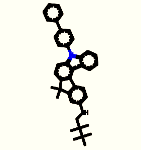 CC1(C)c2cc(BCC(C)(C)C(C)(C)C)ccc2-c2c1ccc1c2c2ccccc2n1-c1ccc(-c2ccccc2)cc1